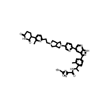 Cc1cc(-c2n[nH]c3ncc(-c4ccc(N5CC6CN(CCc7ccc(C8CCC(=O)NC8=O)c(C)n7)CC6C5)cn4)cc23)ccc1C(C)NC(=O)c1noc(C(C)(C)C)n1